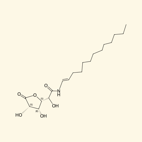 CCCCCCCCCCCC=CNC(=O)C(O)[C@H]1OC(=O)[C@@H](O)[C@H]1O